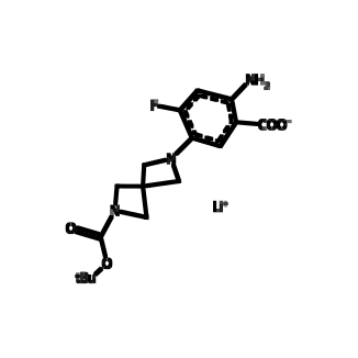 CC(C)(C)OC(=O)N1CC2(C1)CN(c1cc(C(=O)[O-])c(N)cc1F)C2.[Li+]